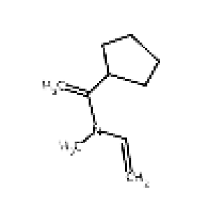 C=CN(C)C(=C)C1CCCC1